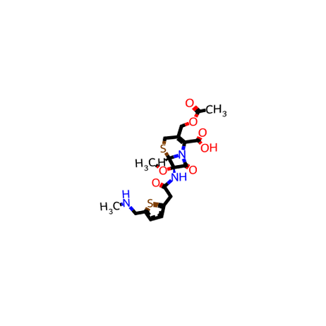 CNCc1ccc(CC(=O)N[C@]2(OC)C(=O)N3C(C(=O)O)=C(COC(C)=O)CS[C@H]32)s1